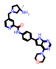 C[C@@]1(N)CCN(Cc2ccnc(C(=O)Nc3ccc(-c4cc5c(N6CCOCC6)ncnc5[nH]4)cc3)c2)C1